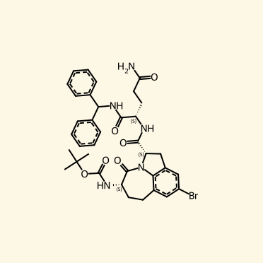 CC(C)(C)OC(=O)N[C@H]1CCc2cc(Br)cc3c2N(C1=O)[C@H](C(=O)N[C@@H](CCC(N)=O)C(=O)NC(c1ccccc1)c1ccccc1)C3